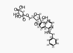 O=P(O)(O)CP(=O)(O)OC[C@H]1OC[C@@](O)(c2ccc3c(NCc4ccccc4)ncnn23)[C@@H]1O